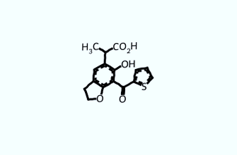 CC(C(=O)O)c1cc2c(c(C(=O)c3cccs3)c1O)OCC2